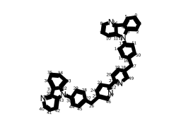 c1ccc2c(c1)c1ncccc1n2-c1ccc(Cc2ccc(-c3ccc(Cc4ccc(-n5c6ccccc6c6ncccc65)cc4)cn3)nc2)cc1